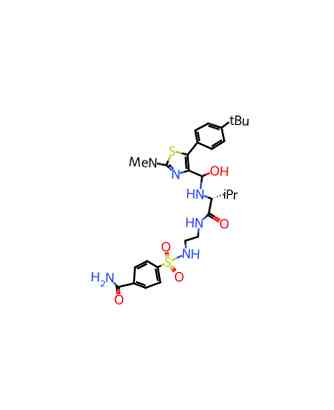 CNc1nc(C(O)N[C@@H](C(=O)NCCNS(=O)(=O)c2ccc(C(N)=O)cc2)C(C)C)c(-c2ccc(C(C)(C)C)cc2)s1